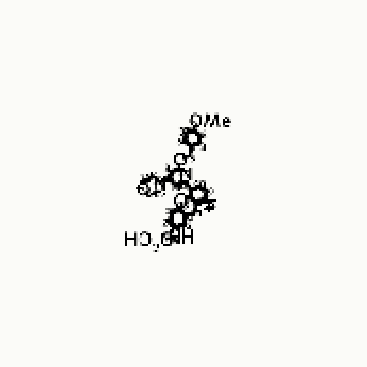 COc1ccc(COc2cc(N3CCOCC3)cc(-c3ccc(F)c4c3Oc3ccc(NC(=O)O)cc3C4)n2)cc1